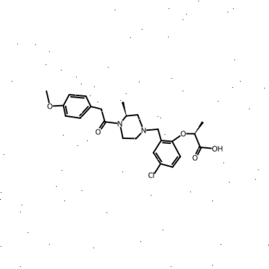 COc1ccc(CC(=O)N2CCN(Cc3cc(Cl)ccc3O[C@@H](C)C(=O)O)C[C@@H]2C)cc1